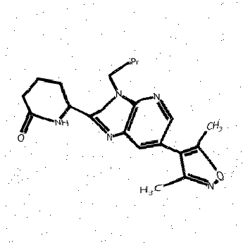 Cc1noc(C)c1-c1cnc2c(c1)nc(C1CCCC(=O)N1)n2CC(C)C